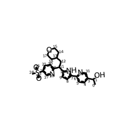 CC(O)c1ccc(-c2ccc(C(CC3CCOCC3)c3ccc(S(C)(=O)=O)cn3)[nH]2)nc1